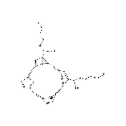 CC(OCCCF)C1=Cc2cc3[nH]c(cc4nc(cc5ccc(cc1n2)[nH]5)C=C4)cc3C(C)OCCCF